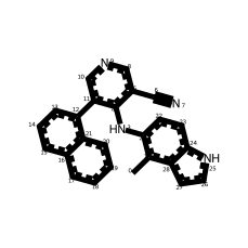 Cc1c(Nc2c(C#N)cncc2-c2cccc3ccccc23)ccc2[nH]ccc12